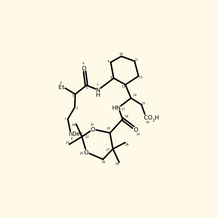 CCCCCCCCCCCCC(CC)C(=O)NC1CCCCC1C(CC(=O)O)NC(=O)C1OC(C)(C)OCC1(C)C